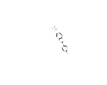 Cc1ccc(-c2nc3ccc(O[Si](C)(C)C(C)(C)C)cc3s2)cn1